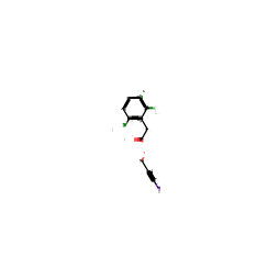 O=C(Cc1c(Cl)ccc(Cl)c1Cl)OCC#CI